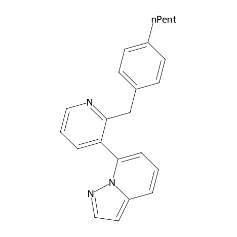 CCCCCc1ccc(Cc2ncccc2-c2cccc3ccnn23)cc1